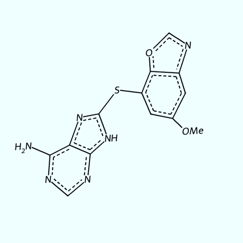 COc1cc(Sc2nc3c(N)ncnc3[nH]2)c2ocnc2c1